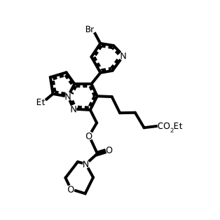 CCOC(=O)CCCCc1c(COC(=O)N2CCOCC2)nn2c(CC)ccc2c1-c1cncc(Br)c1